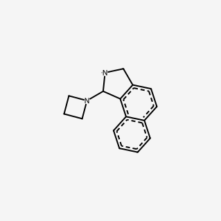 c1ccc2c3c(ccc2c1)C[N]C3N1CCC1